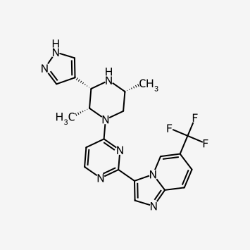 C[C@@H]1CN(c2ccnc(-c3cnc4ccc(C(F)(F)F)cn34)n2)[C@H](C)[C@H](c2cn[nH]c2)N1